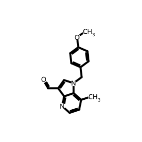 COc1ccc(Cn2cc(C=O)c3nccc(C)c32)cc1